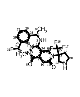 C[C@@H](Nc1nn(C)c(=O)c2cc(=O)n(C3(C(F)(F)F)CCNC3)cc12)c1cccc(C(F)F)c1F